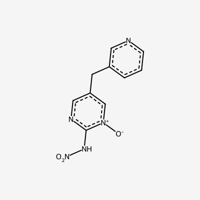 O=[N+]([O-])Nc1ncc(Cc2cccnc2)c[n+]1[O-]